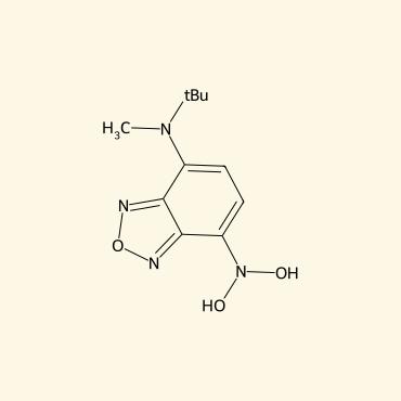 CN(c1ccc(N(O)O)c2nonc12)C(C)(C)C